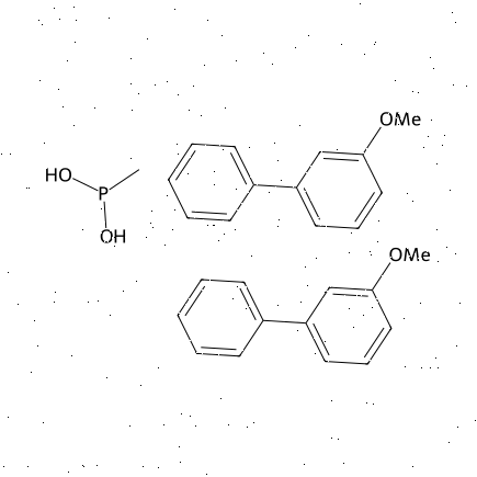 COc1cccc(-c2ccccc2)c1.COc1cccc(-c2ccccc2)c1.CP(O)O